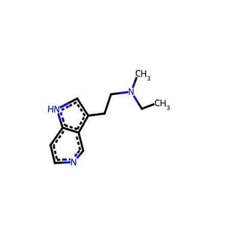 CCN(C)CCc1c[nH]c2ccncc12